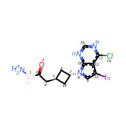 NBC(=O)C[C@H]1C[C@H](n2cc(I)c3c(Cl)ncnc32)C1